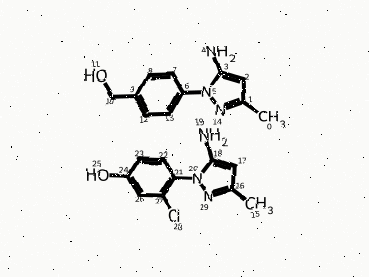 Cc1cc(N)n(-c2ccc(CO)cc2)n1.Cc1cc(N)n(-c2ccc(O)cc2Cl)n1